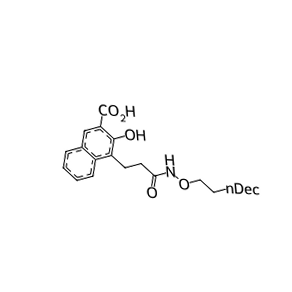 CCCCCCCCCCCCONC(=O)CCc1c(O)c(C(=O)O)cc2ccccc12